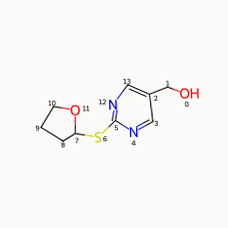 OCc1cnc(SC2CCCO2)nc1